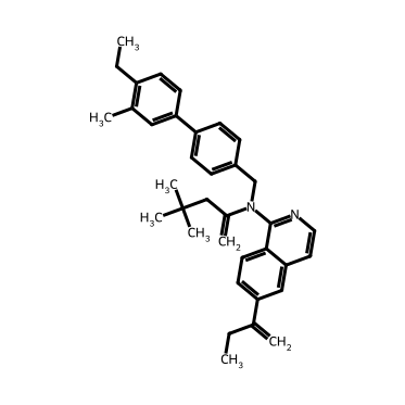 C=C(CC)c1ccc2c(N(Cc3ccc(-c4ccc(CC)c(C)c4)cc3)C(=C)CC(C)(C)C)nccc2c1